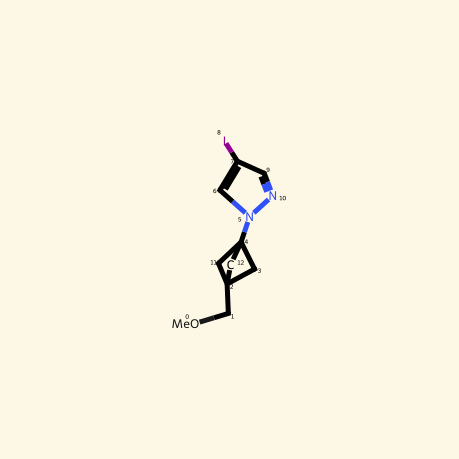 COCC12CC(n3cc(I)cn3)(C1)C2